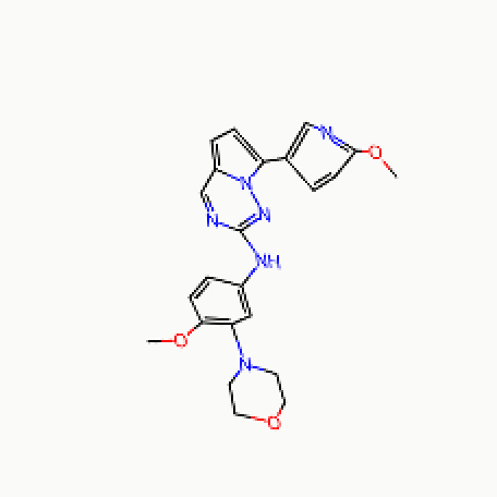 COc1ccc(-c2ccc3cnc(Nc4ccc(OC)c(N5CCOCC5)c4)nn23)cn1